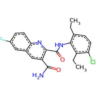 CCc1ccc(Cl)c(CC)c1NC(=O)c1nc2ccc(F)cc2cc1C(N)=O